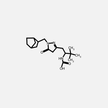 CC(C)(C)C(CC1=NN(CC2CC3CCC2C3)C(=O)C1)NC(=O)O